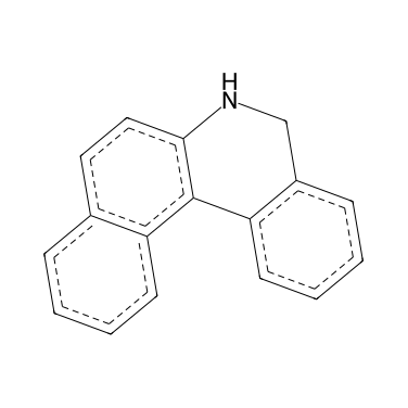 c1ccc2c(c1)CNc1ccc3ccccc3c1-2